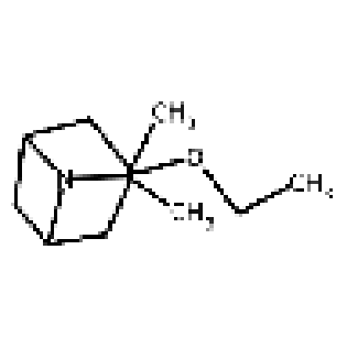 CCOC1CC2CC(C1)N2C(C)C